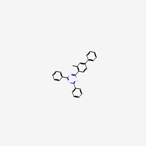 Cc1cc(-c2ccccc2)ccc1-c1nc(-c2ccccc2)nc(-c2ccccc2)n1